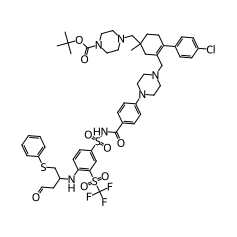 CC1(CN2CCN(C(=O)OC(C)(C)C)CC2)CCC(c2ccc(Cl)cc2)=C(CN2CCN(c3ccc(C(=O)NS(=O)(=O)c4ccc(NC(CC=O)CSc5ccccc5)c(S(=O)(=O)C(F)(F)F)c4)cc3)CC2)C1